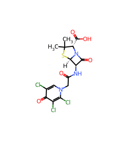 CC1(C)S[C@@H]2[C@H](NC(=O)Cn3cc(Cl)c(=O)c(Cl)c3Cl)C(=O)N2[C@H]1C(=O)O